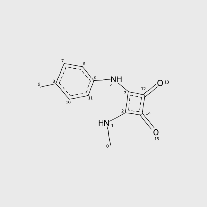 CNc1c(Nc2ccc(C)cc2)c(=O)c1=O